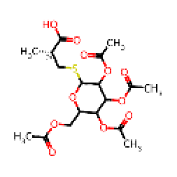 CC(=O)OCC1OC(SC[C@H](C)C(=O)O)C(OC(C)=O)C(OC(C)=O)C1OC(C)=O